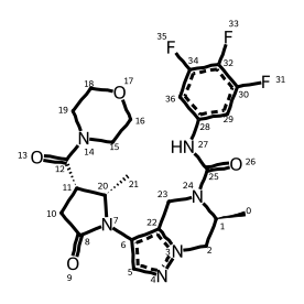 C[C@H]1Cn2ncc(N3C(=O)C[C@H](C(=O)N4CCOCC4)[C@@H]3C)c2CN1C(=O)Nc1cc(F)c(F)c(F)c1